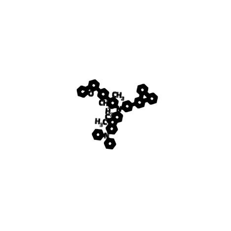 Cc1cc(-c2cccc3c2oc2ccccc23)ccc1-c1ccc(N(c2ccc(-c3ccc4c5ccccc5c5ccccc5c4c3)cc2)c2ccc3c(c2)C(C)(C)c2cc(N(c4ccccc4)c4ccccc4)ccc2-3)cc1C